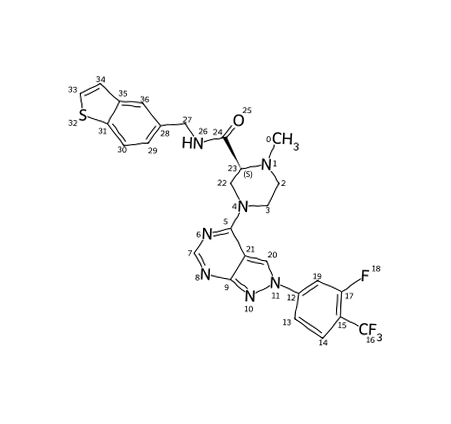 CN1CCN(c2ncnc3nn(-c4ccc(C(F)(F)F)c(F)c4)cc23)C[C@H]1C(=O)NCc1ccc2sccc2c1